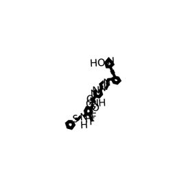 O=C(NS(=O)(=O)c1ccc(NCCSc2ccccc2)c(C(F)(F)F)c1)c1ccc(N2CCN(Cc3ccccc3C#Cc3cncc(O)c3)CC2)nn1